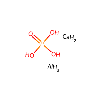 O=P(O)(O)O.[AlH3].[CaH2]